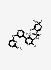 Cc1nccc(Nc2cc(-c3cnc(Cl)c(NS(=O)(=O)C4=CCC(C)(F)C=C4F)c3C)ccn2)n1